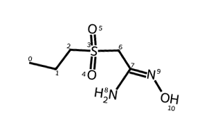 CCCS(=O)(=O)C/C(N)=N/O